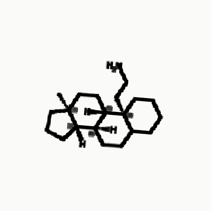 C[C@@]12CCC[C@H]1[C@@H]1CCC3CCCC[C@]3(CCN)[C@H]1CC2